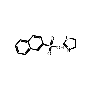 C1=NCCO1.O=S(=O)(O)c1ccc2ccccc2c1